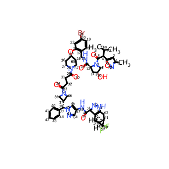 Cc1cc(C(C(=O)N2C[C@H](O)C[C@H]2C(=O)NCc2ccc(Br)cc2OC2CCN(C(=O)CCC(=O)N3CC([C@@H](c4ccccc4)n4cc(NC(=O)c5n[nH]c6c5C[C@@H]5C(F)(F)[C@]5(C)C6)cn4)C3)CC2)C(C)C)on1